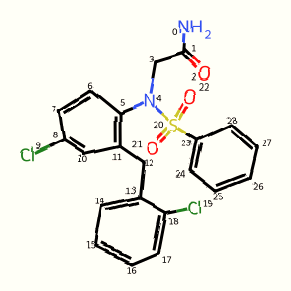 NC(=O)CN(c1ccc(Cl)cc1Cc1ccccc1Cl)S(=O)(=O)c1ccccc1